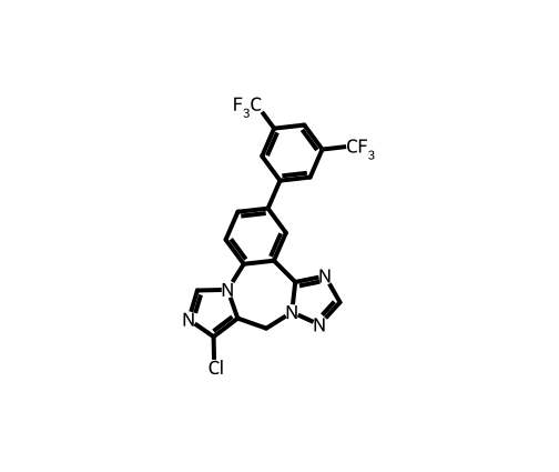 FC(F)(F)c1cc(-c2ccc3c(c2)-c2ncnn2Cc2c(Cl)ncn2-3)cc(C(F)(F)F)c1